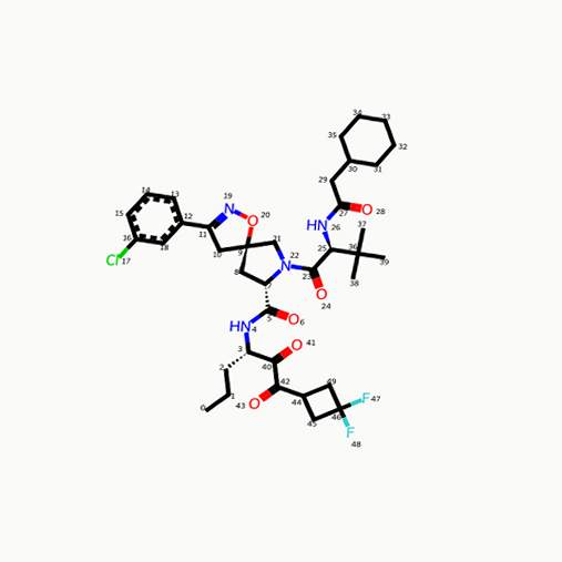 CCC[C@H](NC(=O)[C@@H]1C[C@]2(CC(c3cccc(Cl)c3)=NO2)CN1C(=O)[C@@H](NC(=O)CC1CCCCC1)C(C)(C)C)C(=O)C(=O)C1CC(F)(F)C1